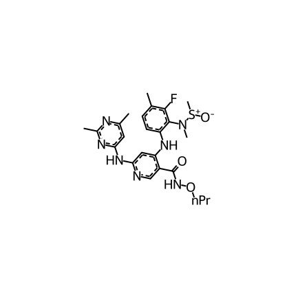 CCCONC(=O)c1cnc(Nc2cc(C)nc(C)n2)cc1Nc1ccc(C)c(F)c1N(C)[S+](C)[O-]